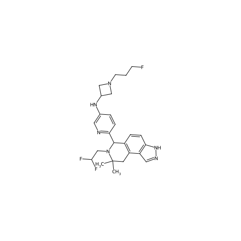 CC1(C)Cc2c(ccc3[nH]ncc23)C(c2ccc(NC3CN(CCCF)C3)cn2)N1CC(F)F